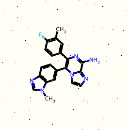 Cc1cc(-c2nc(N)c3nccn3c2-c2ccc3ncn(C)c3c2)ccc1F